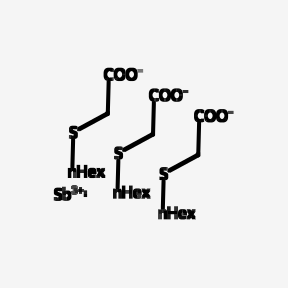 CCCCCCSCC(=O)[O-].CCCCCCSCC(=O)[O-].CCCCCCSCC(=O)[O-].[Sb+3]